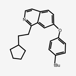 CC(C)(C)c1ccc(Oc2ccc3ccnc(CCC4CCCC4)c3c2)cc1